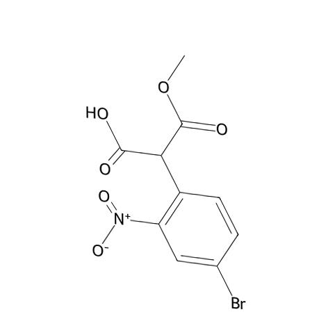 COC(=O)C(C(=O)O)c1ccc(Br)cc1[N+](=O)[O-]